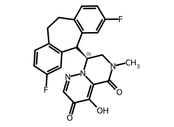 CN1C[C@H](C2c3cc(F)ccc3CCc3ccc(F)cc32)n2ncc(=O)c(O)c2C1=O